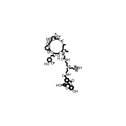 C=CC[C@@H]1/C=C(\C)C[C@H](C)C[C@H](OC)[C@H]2O[C@@](O)(C(=O)C(=O)N3CCCC[C@H]3C(=O)O[C@H](/C(C)=C/[C@@H]3CC[C@@H](O)[C@H](OC)C3)[C@H](C)[C@@H](O)C/C1=N\OCC(=O)NCCC[N+](C)(CCCNC(=O)c1ccc3c(c1)C(=O)OC31c3ccc(O)cc3Oc3cc(O)ccc31)CCCS(=O)(=O)O)[C@H](C)C[C@@H]2OC